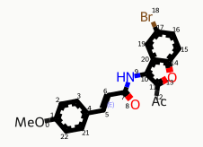 COc1ccc(/C=C/C(=O)Nc2c(C(C)=O)oc3ccc(Br)cc23)cc1